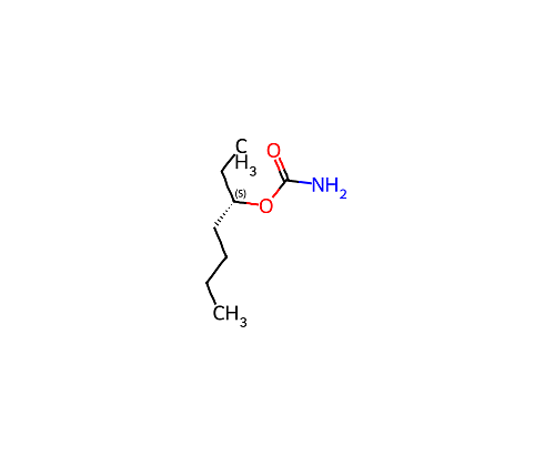 CCCC[C@H](CC)OC(N)=O